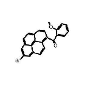 COc1ccccc1C(=O)c1ccc2ccc3cc(Br)cc4ccc1c2c34